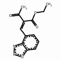 CCOC(=O)C(=Cc1cccc2onnc12)C(C)=O